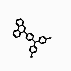 Brc1ccc(N(c2ccc(Br)cc2)c2ccc(-c3cc4ccccc4c4ccccc34)cc2)cc1